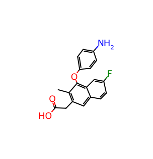 Cc1c(CC(=O)O)cc2ccc(F)cc2c1Oc1ccc(N)cc1